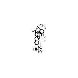 CC(C)NC(=O)c1ccc(C[C@@H](CNC(=O)C2CC2(C)c2ccccc2)N(C)C)cc1F